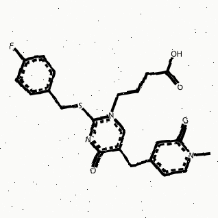 Cn1ccc(Cc2cn(CCCC(=O)O)c(SCc3ccc(F)cc3)nc2=O)cc1=O